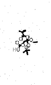 C=C(C)C(=O)OC(COC(=O)O)(OCC)OOC(C)(C)C